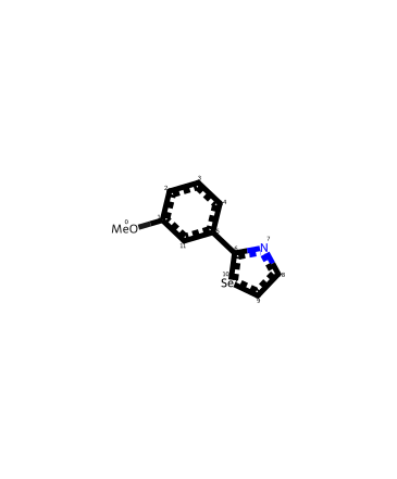 COc1cccc(-c2ncc[se]2)c1